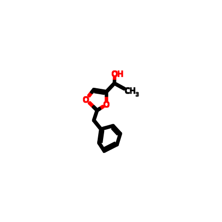 CC(O)C1=COC(Cc2ccccc2)O1